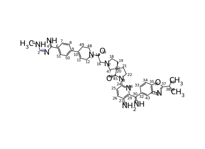 CN/C=N\C(=N)c1ccc(C2=CCN(C(=O)CN3CC[C@]4(CCN(c5ccc(N)c(C(=N)c6ccc7oc(C(C)C)nc7c6)n5)C4=O)C3)CC2)cc1